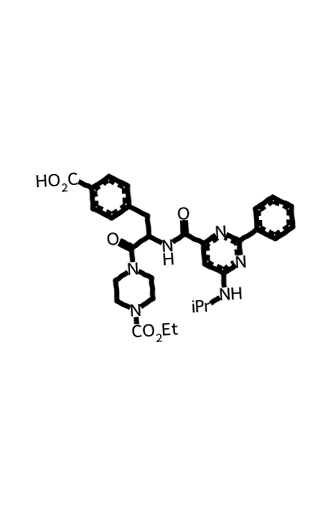 CCOC(=O)N1CCN(C(=O)C(Cc2ccc(C(=O)O)cc2)NC(=O)c2cc(NC(C)C)nc(-c3ccccc3)n2)CC1